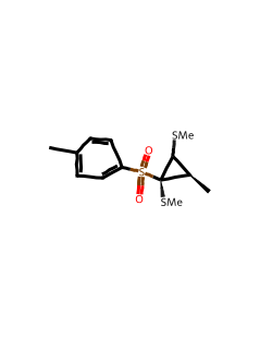 CSC1[C@@H](C)[C@]1(SC)S(=O)(=O)c1ccc(C)cc1